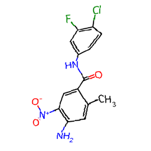 Cc1cc(N)c([N+](=O)[O-])cc1C(=O)Nc1ccc(Cl)c(F)c1